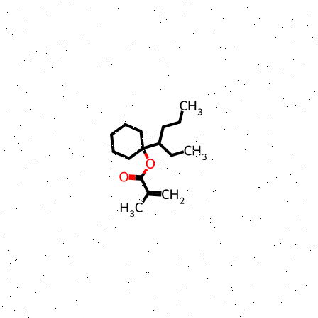 C=C(C)C(=O)OC1(C(CC)CCC)CCCCC1